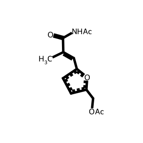 CC(=O)NC(=O)/C(C)=C/c1ccc(COC(C)=O)o1